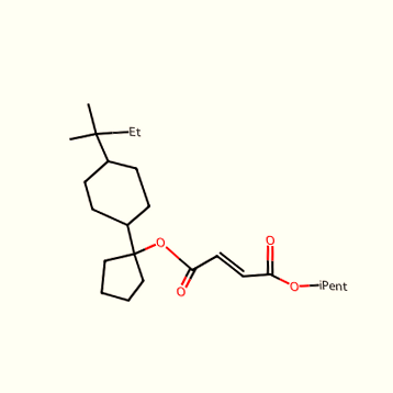 CCCC(C)OC(=O)/C=C/C(=O)OC1(C2CCC(C(C)(C)CC)CC2)CCCC1